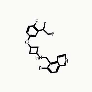 FCC(F)c1cc(OC2CC(NCc3c(F)ccc4cnccc34)C2)ccc1F